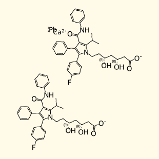 CC(C)c1c(C(=O)Nc2ccccc2)c(-c2ccccc2)c(-c2ccc(F)cc2)n1CC[C@@H](O)C[C@@H](O)CC(=O)[O-].CC(C)c1c(C(=O)Nc2ccccc2)c(-c2ccccc2)c(-c2ccc(F)cc2)n1CC[C@@H](O)C[C@@H](O)CC(=O)[O-].[Ca+2].[Pb]